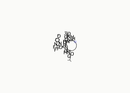 COc1ccc2nc(C(F)(F)F)c(O[C@@H]3C[C@H]4C(=O)N[C@]5(C(=O)NS(=O)(=O)C6(C)CC6)C[C@H]5/C=C\CCCCC[C@H](NC(=O)OCC(C)C)C(=O)N4C3)nc2c1